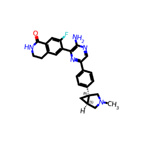 CN1C[C@H]2C[C@@]2(c2ccc(-c3cnc(N)c(-c4cc5c(cc4F)C(=O)NCC5)n3)cc2)C1